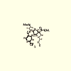 CCCCCCC(=O)O.CNCCC(Oc1ccc(C(F)(F)F)cc1)c1ccccc1